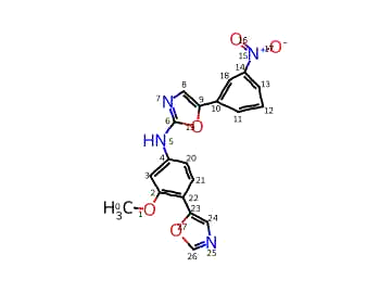 COc1cc(Nc2ncc(-c3cccc([N+](=O)[O-])c3)o2)ccc1-c1cnco1